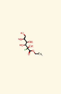 CCOC(=O)C(O)(F)C(O)C(O)C(O)CO